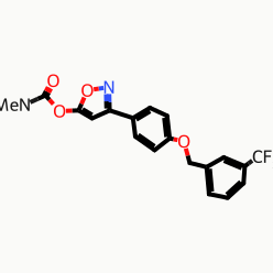 CNC(=O)Oc1cc(-c2ccc(OCc3cccc(C(F)(F)F)c3)cc2)no1